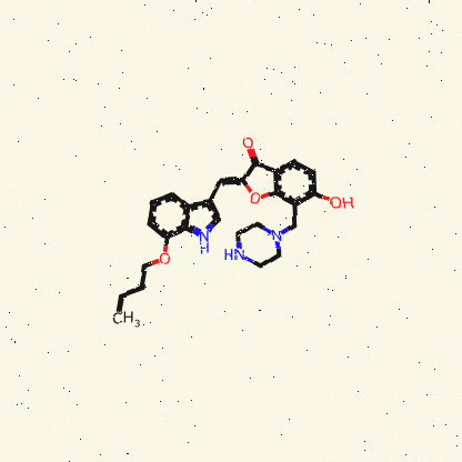 CCCCOc1cccc2c(/C=C3\Oc4c(ccc(O)c4CN4CCNCC4)C3=O)c[nH]c12